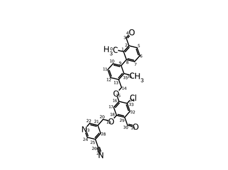 Cc1c(C=O)cccc1-c1cccc(COc2cc(OCc3cncc(C#N)c3)c(C=O)cc2Cl)c1C